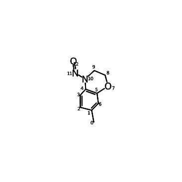 Cc1ccc2c(c1)OCCN2N=O